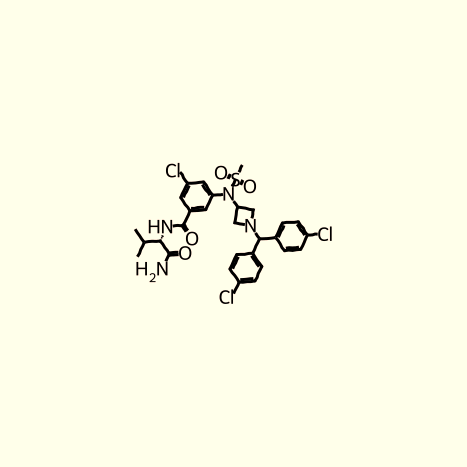 CC(C)[C@H](NC(=O)c1cc(Cl)cc(N(C2CN(C(c3ccc(Cl)cc3)c3ccc(Cl)cc3)C2)S(C)(=O)=O)c1)C(N)=O